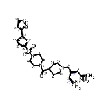 C=C(N)/C=C(\C=C/N)CN1CCC(C(=O)N2CCN(S(=O)(=O)c3ccc(-c4ccon4)s3)CC2)CC1